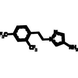 Nc1cnn(CCc2ccc(C(F)(F)F)cc2C(F)(F)F)c1